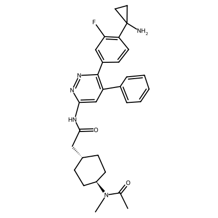 CC(=O)N(C)[C@H]1CC[C@H](CC(=O)Nc2cc(-c3ccccc3)c(-c3ccc(C4(N)CC4)c(F)c3)nn2)CC1